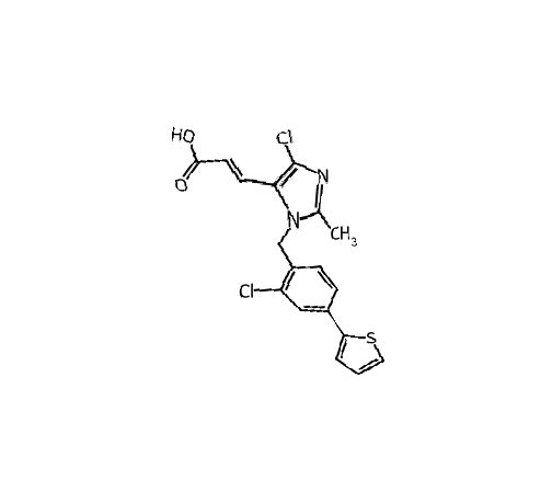 Cc1nc(Cl)c(C=CC(=O)O)n1Cc1ccc(-c2cccs2)cc1Cl